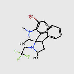 [2H]C1C[C@H](c2ccccc2)[C@@]2(c3cccc(Br)c3N(C)C2[2H])N1CC(F)(F)F